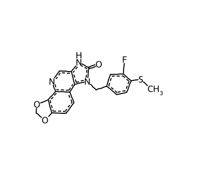 CSc1ccc(Cn2c(=O)[nH]c3cnc4c5c(ccc4c32)OCO5)cc1F